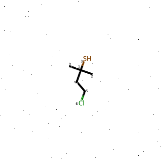 CC(C)(S)CCCl